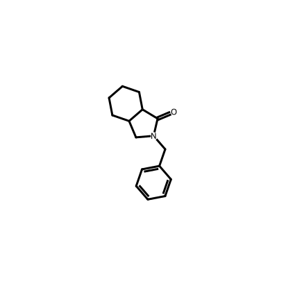 O=C1C2CCCCC2CN1Cc1ccccc1